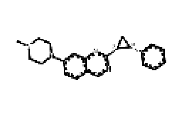 CN1CCN(c2ccc3cnc([C@H]4C[C@@H]4c4ccccc4)nc3c2)CC1